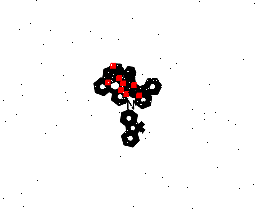 CC1(C)c2ccccc2-c2ccc(N(c3ccc4c(c3)C3(c5ccccc5-c5ccccc5-4)c4ccccc4-c4c3ccc3sc5ccccc5c43)c3ccccc3-c3ccc(-c4ccccc4)cc3)cc21